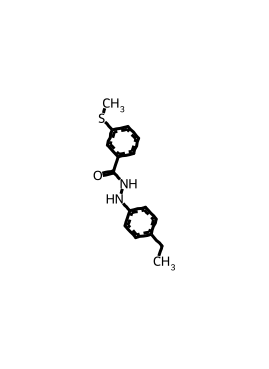 CCc1ccc(NNC(=O)c2cccc(SC)c2)cc1